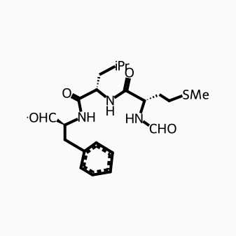 CSCC[C@H](NC=O)C(=O)N[C@@H](CC(C)C)C(=O)N[C@H]([C]=O)Cc1ccccc1